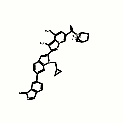 COc1cc(C(=O)N2CC3CCC2[C@@H]3N)cn2nc(-c3cc4ccc(-c5ccc6c(c5)C(=O)N=C6)cc4n3CC3CC3)c(C)c12